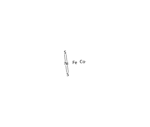 [Co].[Fe].[S]=[Ni]=[S]